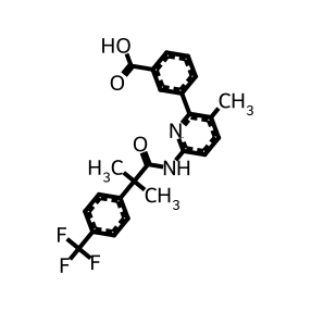 Cc1ccc(NC(=O)C(C)(C)c2ccc(C(F)(F)F)cc2)nc1-c1cccc(C(=O)O)c1